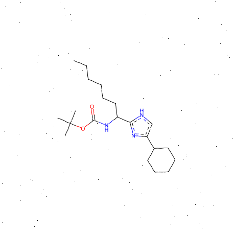 CCCCCCC(NC(=O)OC(C)(C)C)c1nc(C2CCCCC2)c[nH]1